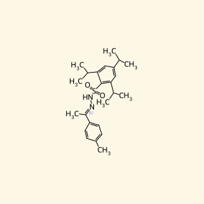 C/C(=N\NS(=O)(=O)c1c(C(C)C)cc(C(C)C)cc1C(C)C)c1ccc(C)cc1